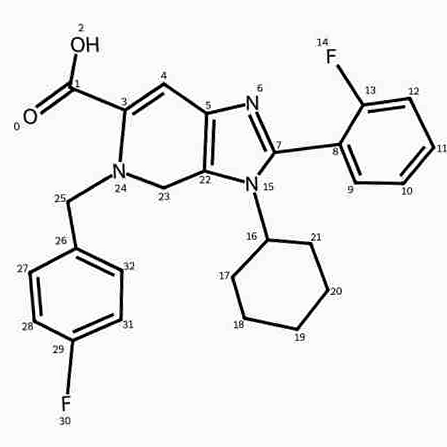 O=C(O)C1=Cc2nc(-c3ccccc3F)n(C3CCCCC3)c2CN1Cc1ccc(F)cc1